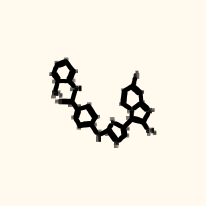 Cc1nc2cc(Cl)ccn2c1-c1cnc(Nc2ccc(C(=O)Nc3ccccc3N)cc2)s1